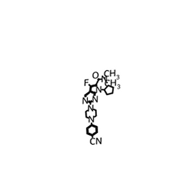 CN(C)C(=O)c1c(F)c2cnc(N3CCN(c4ccc(C#N)cc4)CC3)nc2n1C1CCCC1